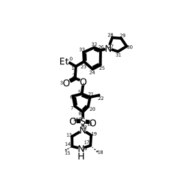 CCC(C(=O)Oc1ccc(S(=O)(=O)N2C[C@@H](C)N[C@@H](C)C2)cc1C)c1ccc(N2CCCC2)cc1